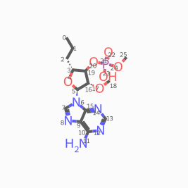 CCC[C@H]1O[C@@H](n2cnc3c(N)ncnc32)[C@@H](OC)C1OP(=O)(O)OC